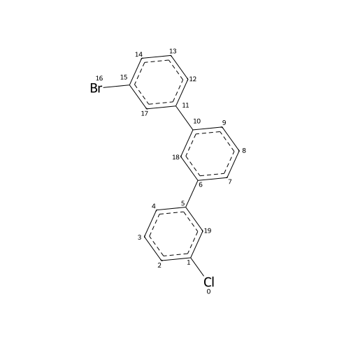 Clc1cccc(-c2cccc(-c3cccc(Br)c3)c2)c1